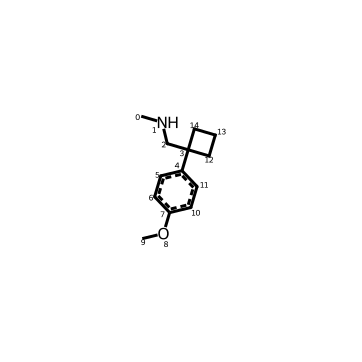 CNCC1(c2ccc(OC)cc2)CCC1